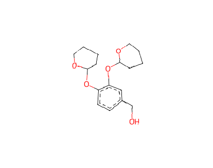 OCc1ccc(OC2CCCCO2)c(OC2CCCCO2)c1